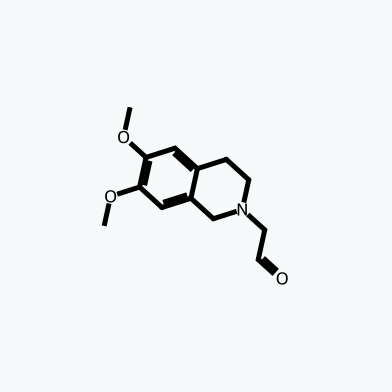 COc1cc2c(cc1OC)CN(CC=O)CC2